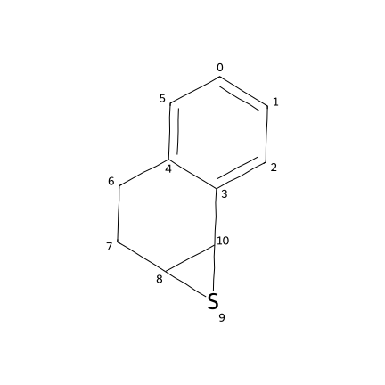 c1ccc2c(c1)CCC1SC21